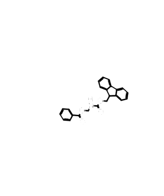 O=C(NCOC(=O)c1ccccc1)OCC1c2ccccc2-c2ccccc21